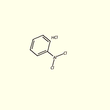 Cl.[Cl][Al]([Cl])[c]1ccccc1